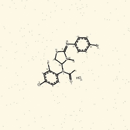 CC(=O)N(c1ccc(Cl)cc1F)C1CSC(=Nc2ccc(Br)cc2)N1C.Cl